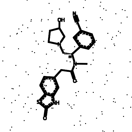 CN(C(=O)Cc1ccc2sc(=O)[nH]c2c1)[C@H](CN1CCC(O)C1)c1cccc(C#N)c1